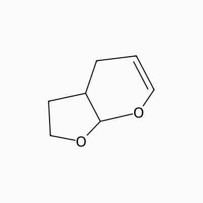 C1=COC2OCCC2C1